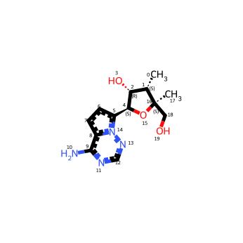 C[C@H]1[C@@H](O)[C@H](c2ccc3c(N)ncnn23)O[C@]1(C)CO